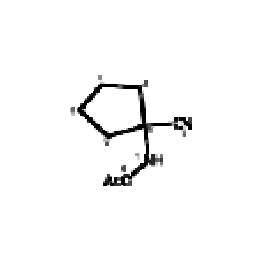 CC(=O)ONC1(C#N)CCCC1